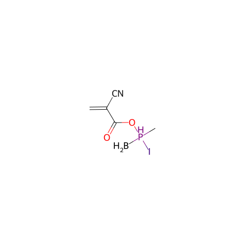 B[PH](C)(I)OC(=O)C(=C)C#N